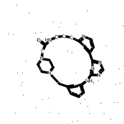 O=C1CN2CCN(CC2)Cc2cccc(c2)Nc2ncnc(n2)-c2ccnc(c2)CCCN1